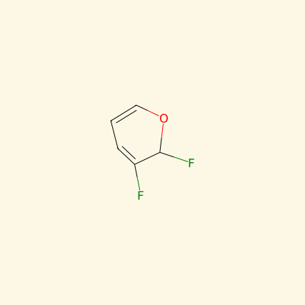 FC1=CC=COC1F